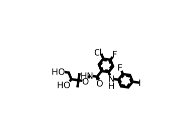 CC(C)(ONC(=O)c1cc(Cl)c(F)cc1Nc1ccc(I)cc1F)C(O)CO